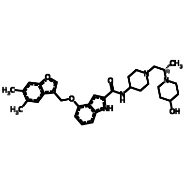 Cc1cc2occ(COc3cccc4[nH]c(C(=O)NC5CCN(C[C@H](C)N6CCC(O)CC6)CC5)cc34)c2cc1C